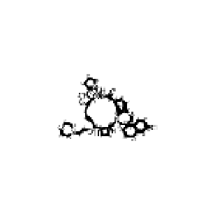 CO[C@@H]1C/C=C/[C@H](OCCN2CCOCC2)[C@@H]2CC[C@H]2CN2C[C@@]3(CCCc4cc(Cl)ccc43)COc3ccc(cc32)C(=O)NS(=O)(=O)[C@@H]1C[C@H]1CCCO1